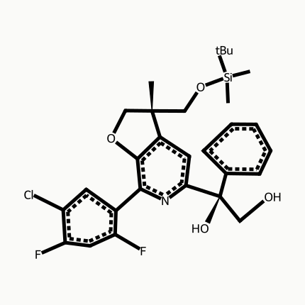 CC(C)(C)[Si](C)(C)OC[C@@]1(C)COc2c1cc([C@@](O)(CO)c1ccccc1)nc2-c1cc(Cl)c(F)cc1F